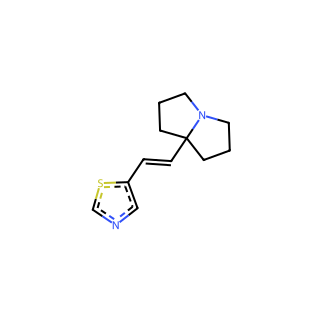 C(=C\C12CCCN1CCC2)/c1cncs1